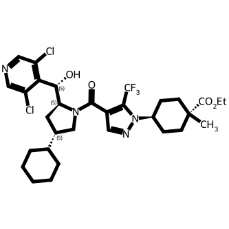 CCOC(=O)[C@]1(C)CC[C@@H](n2ncc(C(=O)N3C[C@H](C4CCCCC4)C[C@H]3[C@@H](O)c3c(Cl)cncc3Cl)c2C(F)(F)F)CC1